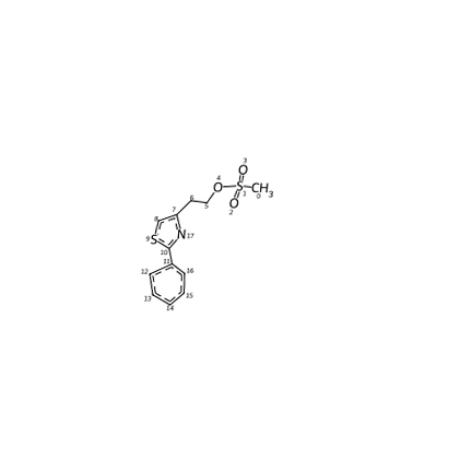 CS(=O)(=O)OCCc1csc(-c2ccccc2)n1